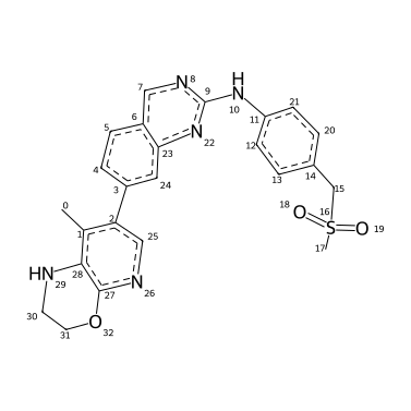 Cc1c(-c2ccc3cnc(Nc4ccc(CS(C)(=O)=O)cc4)nc3c2)cnc2c1NCCO2